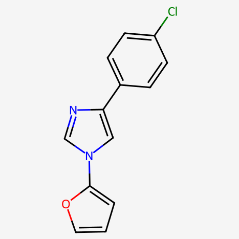 Clc1ccc(-c2cn(-c3ccco3)cn2)cc1